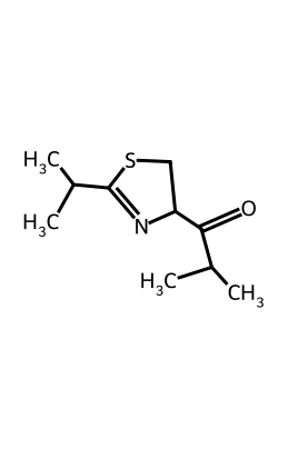 CC(C)C(=O)C1CSC(C(C)C)=N1